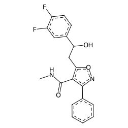 CNC(=O)c1c(-c2ccccc2)noc1CC(O)c1ccc(F)c(F)c1